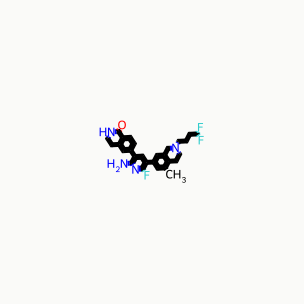 Cc1cc(-c2cc(-c3ccc4c(c3)CCNC4=O)c(N)nc2F)cc2c1CCN(CCCC(F)F)C2